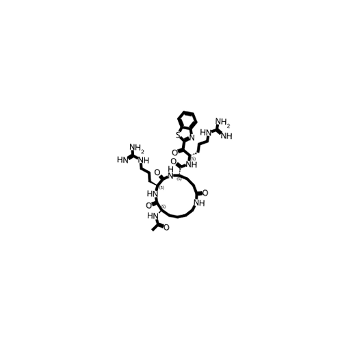 CC(=O)N[C@H]1CCCCNC(=O)CC[C@@H](C(=O)N[C@@H](CCCNC(=N)N)C(=O)c2nc3ccccc3s2)NC(=O)[C@H](CCCNC(=N)N)NC1=O